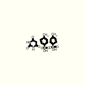 Cc1ccc(S(=O)(=O)O)cc1.Cc1ccc(S(=O)(=O)O)cc1.O=C1CC(=O)NC(=O)N1